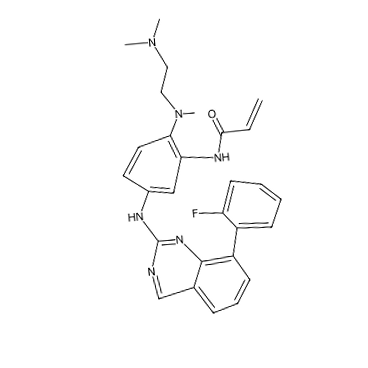 C=CC(=O)Nc1cc(Nc2ncc3cccc(-c4ccccc4F)c3n2)ccc1N(C)CCN(C)C